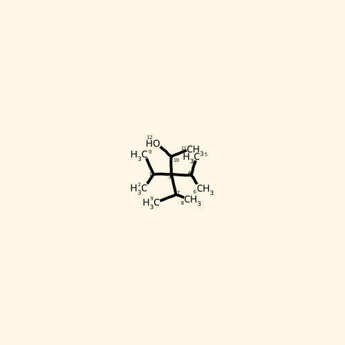 CC(C)C(C(C)C)(C(C)C)C(C)O